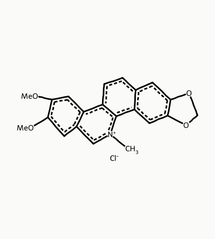 COc1cc2c[n+](C)c3c4cc5c(cc4ccc3c2cc1OC)OCO5.[Cl-]